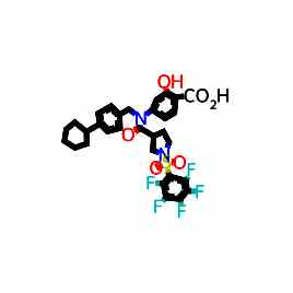 O=C(O)c1ccc(N(Cc2ccc(C3CCCCC3)cc2)C(=O)C2CCN(S(=O)(=O)c3c(F)c(F)c(F)c(F)c3F)C2)cc1O